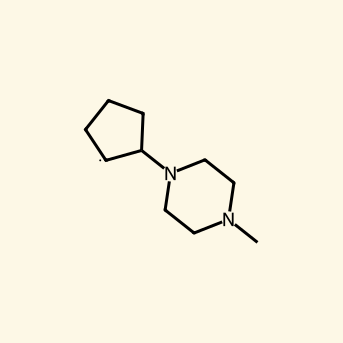 CN1CCN(C2[CH]CCC2)CC1